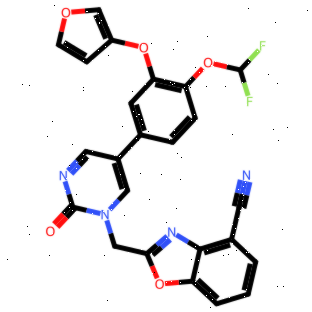 N#Cc1cccc2oc(Cn3cc(-c4ccc(OC(F)F)c(Oc5ccoc5)c4)cnc3=O)nc12